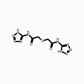 O=C(COCC(=O)Nc1nnn[nH]1)Nc1nnn[nH]1